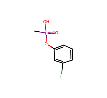 CP(=O)(O)Oc1cccc(F)c1